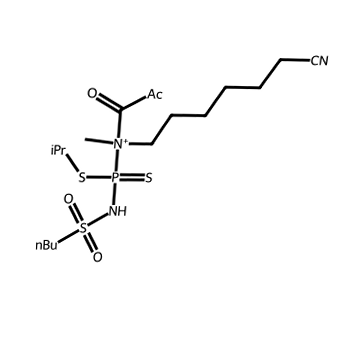 CCCCS(=O)(=O)NP(=S)(SC(C)C)[N+](C)(CCCCCCC#N)C(=O)C(C)=O